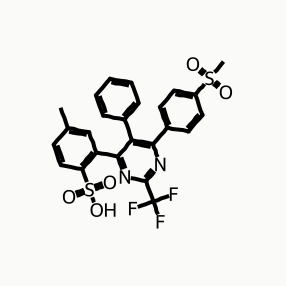 Cc1ccc(S(=O)(=O)O)c(-c2nc(C(F)(F)F)nc(-c3ccc(S(C)(=O)=O)cc3)c2-c2ccccc2)c1